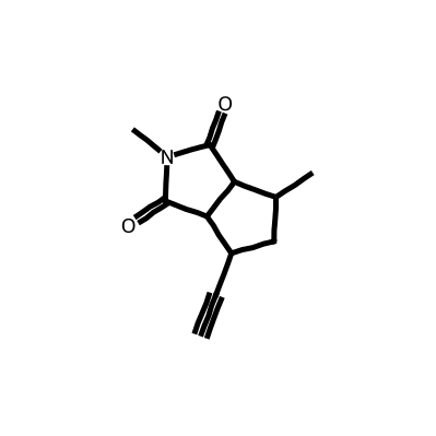 C#CC1CC(C)C2C(=O)N(C)C(=O)C12